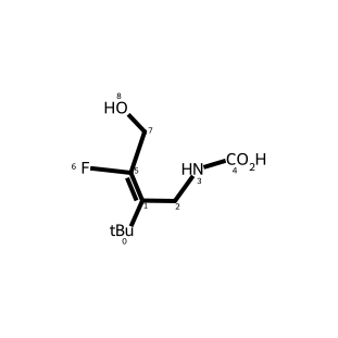 CC(C)(C)C(CNC(=O)O)=C(F)CO